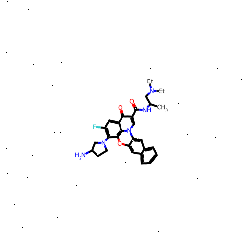 CCN(CC)CC(C)NC(=O)c1cn2c3c(c(N4CCC(N)C4)c(F)cc3c1=O)Oc1cc3ccccc3cc1-2